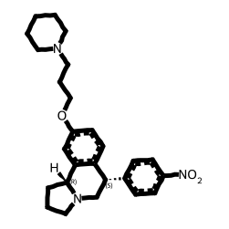 O=[N+]([O-])c1ccc([C@@H]2CN3CCC[C@@H]3c3cc(OCCCN4CCCCC4)ccc32)cc1